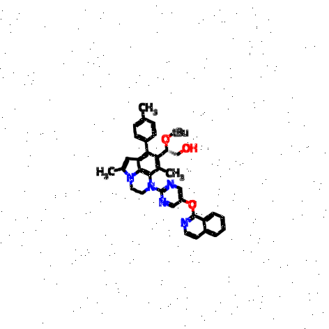 Cc1ccc(-c2c([C@@H](CO)OC(C)(C)C)c(C)c3c4c2cc(C)n4CCN3c2ncc(Oc3nccc4ccccc34)cn2)cc1